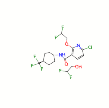 O=C(N[C@H]1CC[C@H](C(F)(F)F)CC1)c1ccc(Cl)nc1OCC(F)F.OCC(F)F